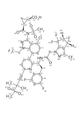 CC(C)(C#Cc1ccc(-c2ccc(Cl)c3c(N(C(=O)[C@H]4C[C@H]4C(=O)O)S(C)(=O)=O)nn(CC(F)(F)F)c23)c([C@H](Cc2cc(F)cc(F)c2)NC(=O)Cn2nc(C(F)(F)F)c3c2C(F)(F)[C@@H]2C[C@H]32)n1)S(C)(=O)=O